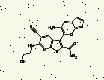 N#Cc1cc2c(-c3oc4cccc-4cc3N)c(C(N)=O)sc2nc1NCCO